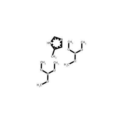 COB(OC)OC.COB(OC)OC.Cc1cnc[nH]1